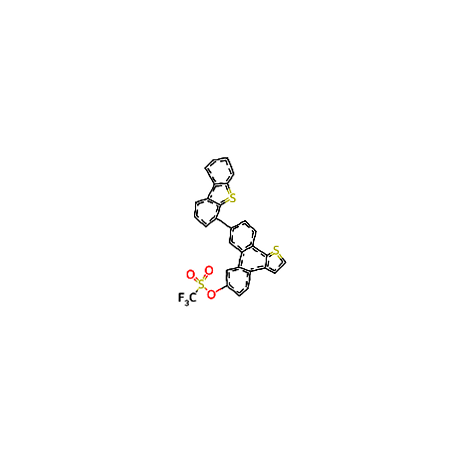 O=S(=O)(Oc1ccc2c(c1)c1cc(-c3cccc4c3sc3ccccc34)ccc1c1sccc21)C(F)(F)F